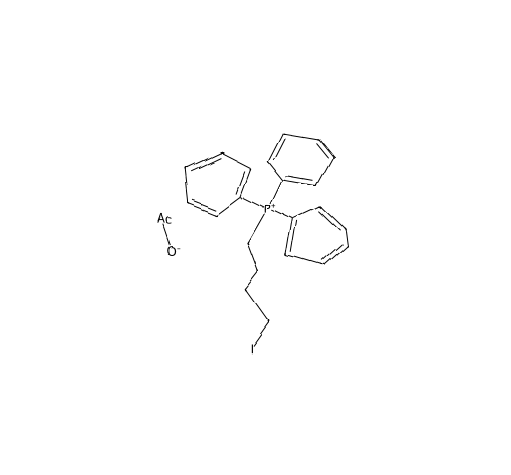 CC(=O)[O-].ICCCC[P+](c1ccccc1)(c1ccccc1)c1ccccc1